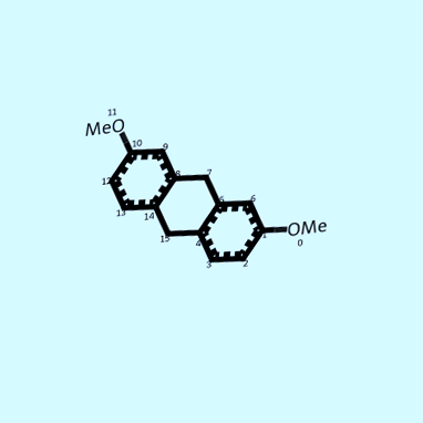 COc1ccc2c(c1)Cc1cc(OC)ccc1C2